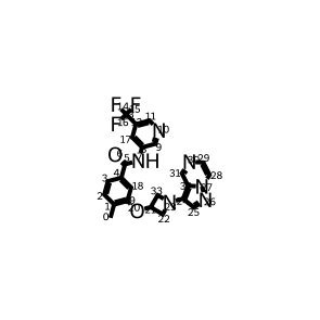 Cc1ccc(C(=O)Nc2cncc(C(F)(F)F)c2)cc1OC1CN(c2cnn3ccncc23)C1